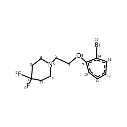 FC1(F)CCN(CCOc2ccccc2Br)CC1